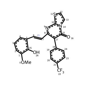 COc1cccc(/C=C/c2nc3sccn3c(=O)c2-c2ccc(C(F)(F)F)cc2)c1O